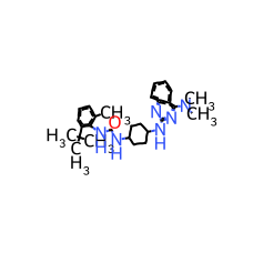 Cc1cccc(C(C)(C)C)c1NC(=O)NC1CCC(Nc2nc(N(C)C)c3ccccc3n2)CC1